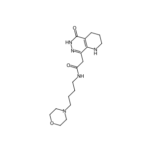 O=C(Cc1n[nH]c(=O)c2c1NCCC2)NCCCCN1CCOCC1